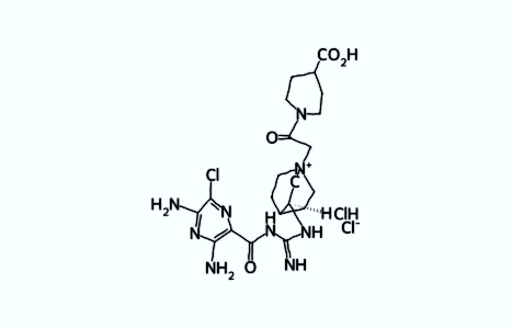 Cl.N=C(NC(=O)c1nc(Cl)c(N)nc1N)N[C@@H]1C[N+]2(CC(=O)N3CCC(C(=O)O)CC3)CCC1CC2.[Cl-]